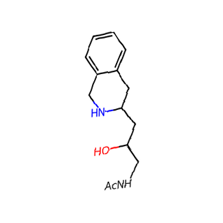 CC(=O)NCC(O)CC1Cc2ccccc2CN1